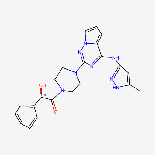 Cc1cc(Nc2nc(N3CCN(C(=O)[C@H](O)c4ccccc4)CC3)nn3cccc23)n[nH]1